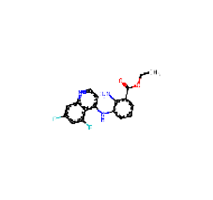 CCOC(=O)c1cccc(Nc2ccnc3cc(F)cc(F)c23)c1N